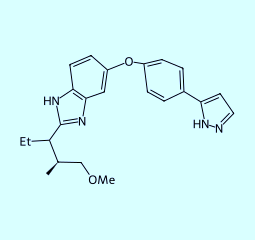 CCC(c1nc2cc(Oc3ccc(-c4ccn[nH]4)cc3)ccc2[nH]1)[C@H](C)COC